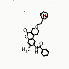 Cc1cc2oc(=O)c3c(c2cc1NC(=O)c1ccccc1)CCN(CCN1CC2CCC(CC2)C1)C3